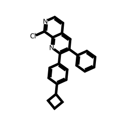 Clc1nccc2cc(-c3ccccc3)c(-c3ccc([C]4CCC4)cc3)nc12